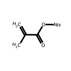 C=C(C)C(=O)O[NH]